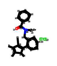 CC1=C(C)C(C)C(c2ccccc2C[N]([Zr+2])C(=O)c2ccccc2)=C1C.[Cl-].[Cl-]